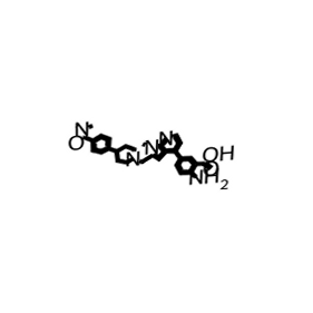 CN(C)C(=O)c1ccc(C2CCN(Cc3cc4c(-c5ccc(N)c(C(=O)O)c5)ccnc4n3C)CC2)cc1